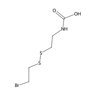 O=C(O)NCCSSCCBr